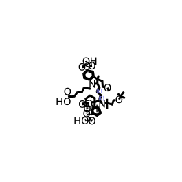 COCCC1(C)c2cc(S(=O)(=O)O)ccc2N(CCCCCC(=O)O)C1/C=C/C=C1/N(C(C)(C)CCOC(C)(C)C)c2ccc(S(=O)(=O)O)cc2C1(C)CCCS(=O)(=O)O